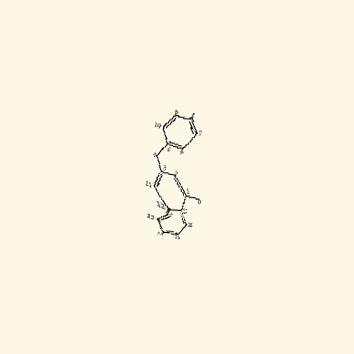 Cc1cc(Cc2ccccc2)cc2ccccc12